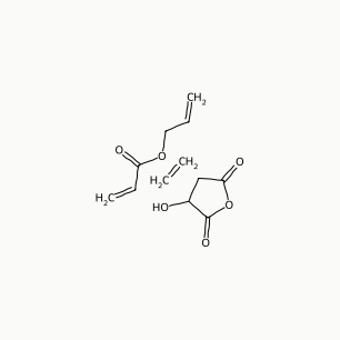 C=C.C=CCOC(=O)C=C.O=C1CC(O)C(=O)O1